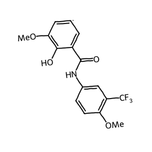 COc1ccc(NC(=O)c2c[c]cc(OC)c2O)cc1C(F)(F)F